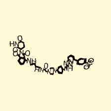 CS(=O)(=O)c1ccc(-c2cccc3nc(Nc4ccc(N5CCN(CC(=O)NCCCCNc6cccc7c6C(=O)N(C6CCC(=O)NC6=O)C7=O)CC5)cc4)nn23)cc1